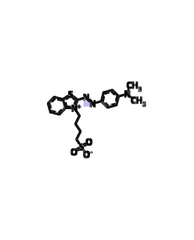 CN(C)c1ccc(/N=N/c2sc3ccccc3[n+]2CCCCS(=O)(=O)[O-])cc1